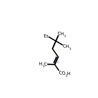 CCC(C)(C)C/C=C(\C)C(=O)O